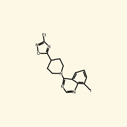 CCc1noc(C2CCN(c3ncnc4c(I)cccc34)CC2)n1